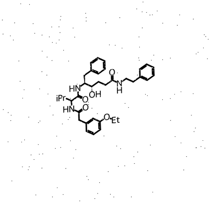 CCOc1cccc(CC(=O)NC(C(=O)N[C@@H](Cc2ccccc2)[C@@H](O)CCC(=O)NCCc2ccccc2)C(C)C)c1